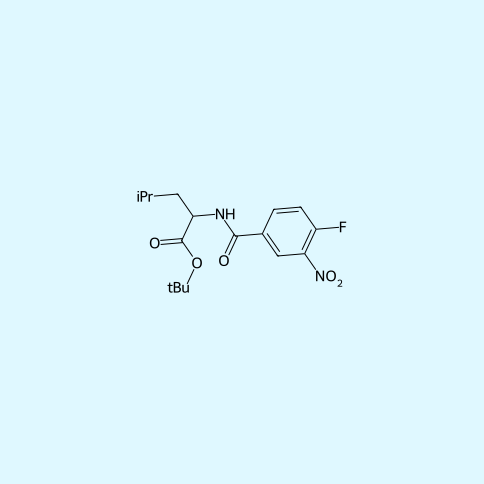 CC(C)CC(NC(=O)c1ccc(F)c([N+](=O)[O-])c1)C(=O)OC(C)(C)C